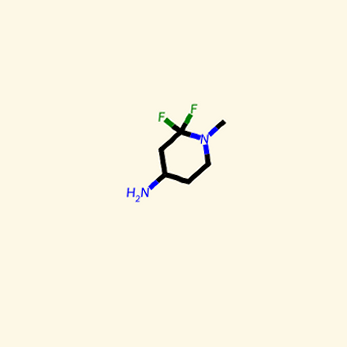 CN1CCC(N)CC1(F)F